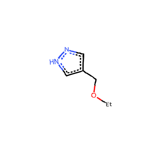 CCOCc1cn[nH]c1